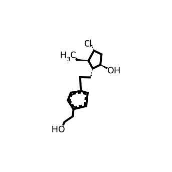 CC[C@@H]1[C@@H](CCc2ccc(CCO)cc2)[C@H](O)C[C@H]1Cl